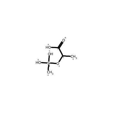 CC(O[Si](C)(O)O)C(=O)O